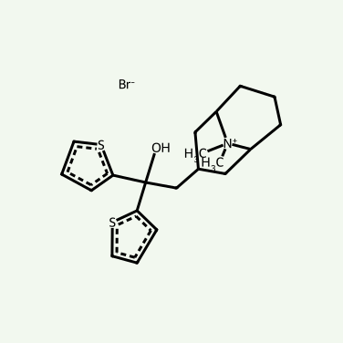 C[N+]1(C)C2CCCC1CC(CC(O)(c1cccs1)c1cccs1)C2.[Br-]